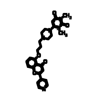 Cn1c(N2CCN(CCCOc3cccc4oc(-c5ccncc5)cc(=O)c34)CC2)cc(=O)n(C)c1=O